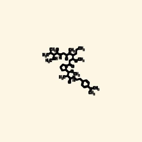 CCCC(C(CC(=O)N1CCCC1C(OC)C(C)C(=O)NCCc1ccc(N(C)C)cc1)OC)N(C)C(=O)CNC(=O)C(NC)C(C)C